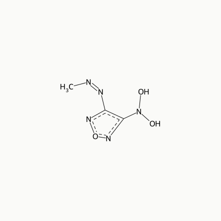 C/N=N\c1nonc1N(O)O